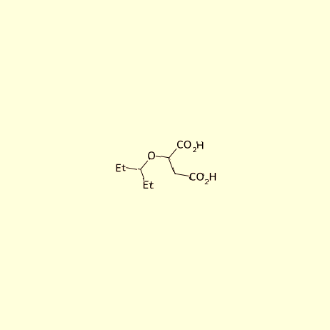 CCC(CC)OC(CC(=O)O)C(=O)O